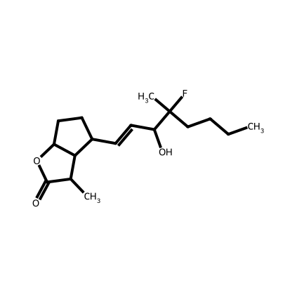 CCCCC(C)(F)C(O)/C=C/C1CCC2OC(=O)C(C)C12